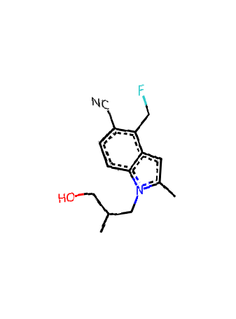 Cc1cc2c(CF)c(C#N)ccc2n1CC(C)CO